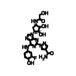 NC(=O)c1cnn(-c2nc(Nc3ccc(O)c(F)c3)c3ncn([C@@H]4C[C@H](NC(=O)CO)[C@@H](O)[C@H]4O)c3n2)c1